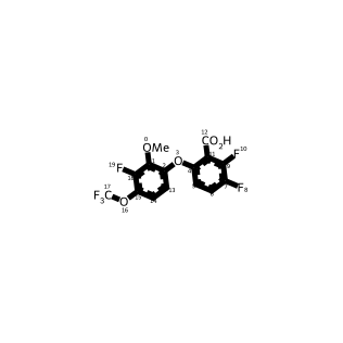 COc1c(Oc2ccc(F)c(F)c2C(=O)O)ccc(OC(F)(F)F)c1F